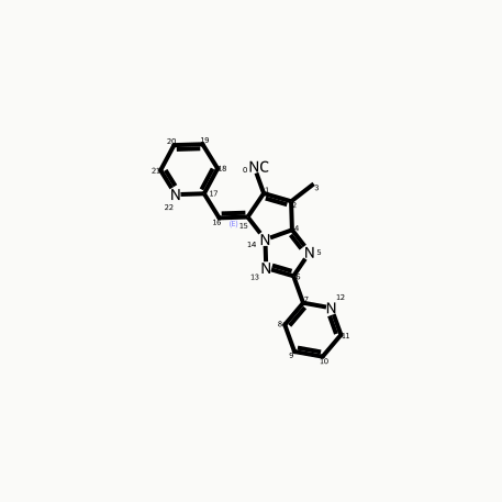 [C-]#[N+]c1c(C)c2nc(-c3ccccn3)nn2/c1=C/c1ccccn1